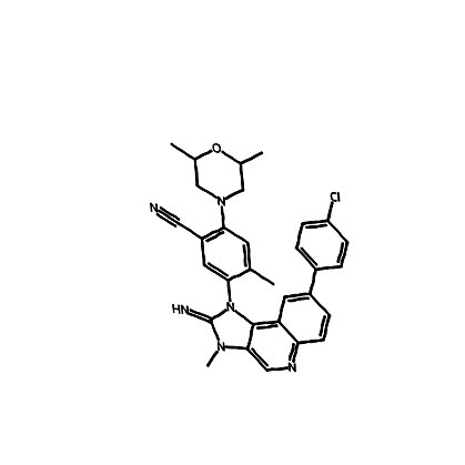 Cc1cc(N2CC(C)OC(C)C2)c(C#N)cc1-n1c(=N)n(C)c2cnc3ccc(-c4ccc(Cl)cc4)cc3c21